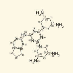 N[C@@H]1C[C@H](N)CN(c2nc(Nc3ccc4c(c3)CCC4)nc(N3C[C@H](N)C[C@H](N)C3)n2)C1